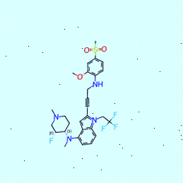 COc1cc(S(C)(=O)=O)ccc1NCC#Cc1cc2c(N(C)[C@H]3CCN(C)C[C@H]3F)cccc2n1CC(F)(F)F